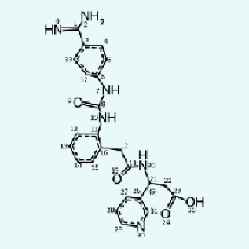 N=C(N)c1ccc(NC(=O)Nc2ccccc2CC(=O)N[C@@H](CC(=O)O)c2cccnc2)cc1